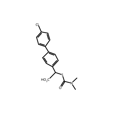 CN(C)C(=O)SC(C(=O)O)c1ccc(-c2ccc(Cl)cc2)cc1